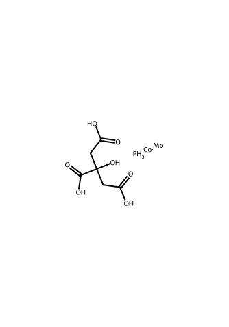 O=C(O)CC(O)(CC(=O)O)C(=O)O.P.[Co].[Mo]